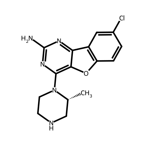 C[C@@H]1CNCCN1c1nc(N)nc2c1oc1ccc(Cl)cc12